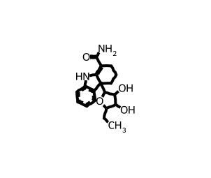 CCC1OC(C23CCCC(C(N)=O)=C2Nc2ccccc23)C(O)C1O